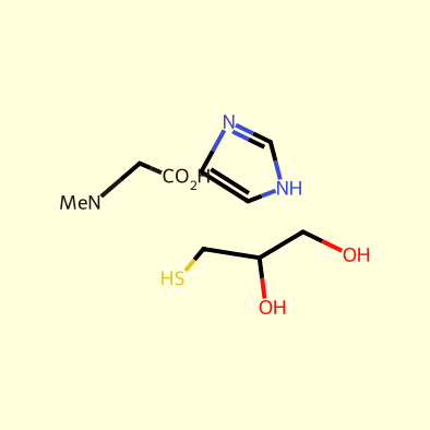 CNCC(=O)O.OCC(O)CS.c1c[nH]cn1